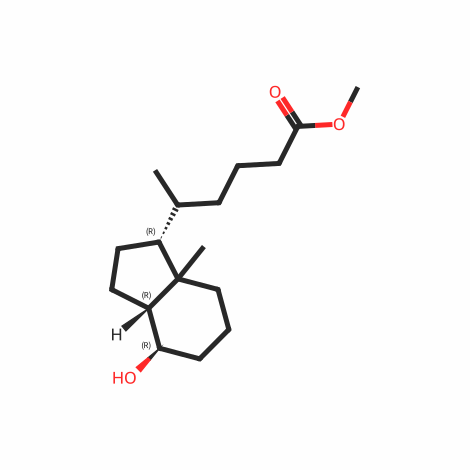 COC(=O)CCCC(C)[C@H]1CC[C@H]2[C@H](O)CCCC12C